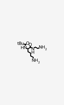 CC(C)(C)C(=O)NC(CCCCN)C(=O)NCCN